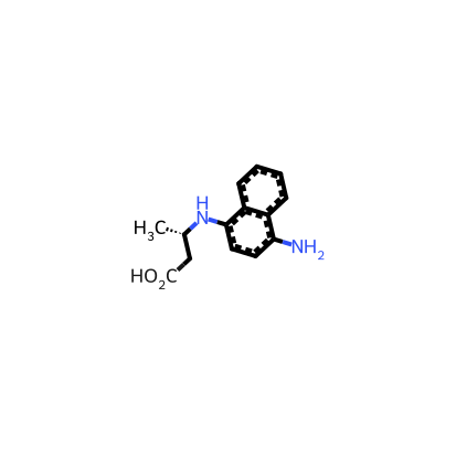 C[C@@H](CC(=O)O)Nc1ccc(N)c2ccccc12